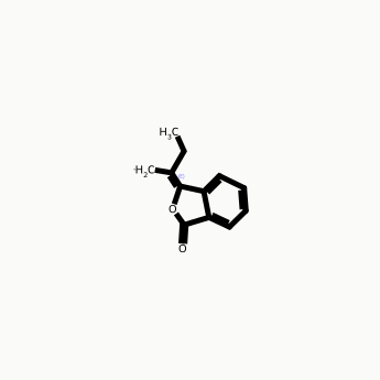 [CH2]/C(CC)=C1\OC(=O)c2ccccc21